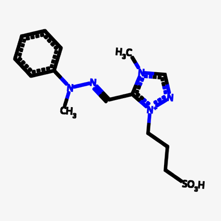 CN(N=Cc1n(C)cn[n+]1CCCS(=O)(=O)O)c1ccccc1